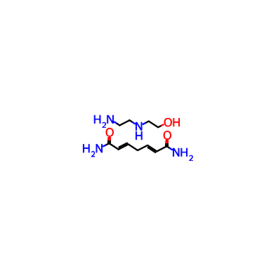 NC(=O)C=CCC=CC(N)=O.NCCNCCO